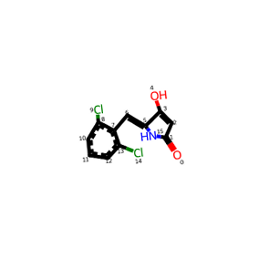 O=C1C=C(O)C(=Cc2c(Cl)cccc2Cl)N1